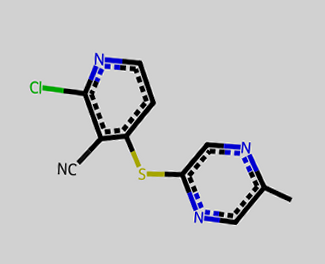 Cc1cnc(Sc2ccnc(Cl)c2C#N)cn1